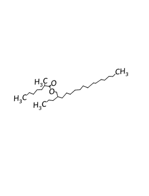 CCCCCCCCCCCCCCC(CCC)COC(=O)C(C)CCCCC